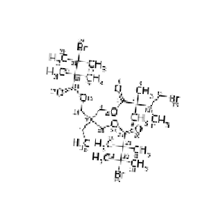 CCC(COC(=O)C(C)(C)C(C)CBr)(COC(=O)C(C)(C)C(C)(C)Br)COC(=O)C(C)(C)C(C)(C)Br